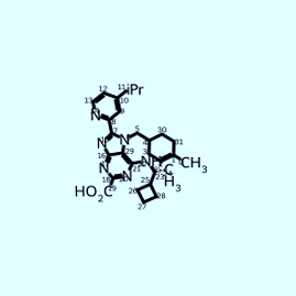 CC1=CCC(Cn2c(-c3cc(C(C)C)ccn3)nc3nc(C(=O)O)nc(N[C@H](C)C4CCC4)c32)CC1